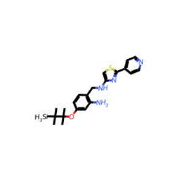 CC(C)([SiH3])C(C)(C)Oc1ccc(CNc2csc(-c3ccncc3)n2)c(N)c1